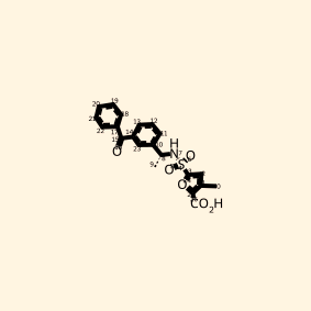 Cc1cc(S(=O)(=O)N[C@H](C)c2cccc(C(=O)c3ccccc3)c2)oc1C(=O)O